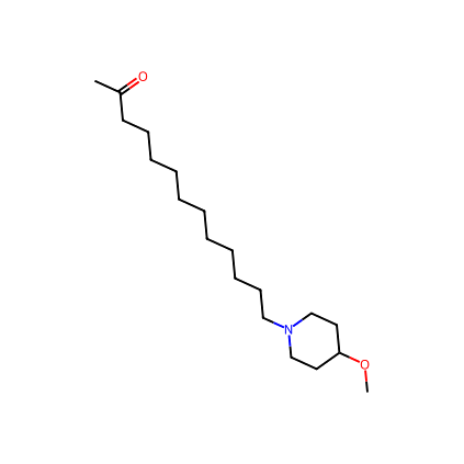 COC1CCN(CCCCCCCCCCCC(C)=O)CC1